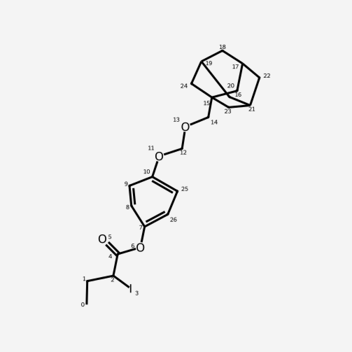 CCC(I)C(=O)Oc1ccc(OCOCC23CC4CC(CC(C4)C2)C3)cc1